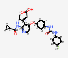 CC/C(=C\C(=O)O)c1c(Oc2ccc(NC(=O)Nc3ccc(F)cc3)cc2)ccnc1NC(=O)C1CC1